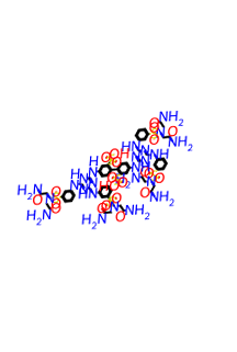 NC(=O)CN(CC(N)=O)S(=O)(=O)c1cccc(Nc2nc(Nc3cccc(S(=O)(=O)N(CC(N)=O)CC(N)=O)c3)nc(Nc3ccc(-c4ccc(Nc5nc(Nc6cccc(S(=O)(=O)N(CC(N)=O)CC(N)=O)c6)nc(Nc6cccc(S(=O)(=O)N(CC(N)=O)CC(N)=O)c6)n5)cc4S(=O)(=O)O)c(S(=O)(=O)O)c3)n2)c1